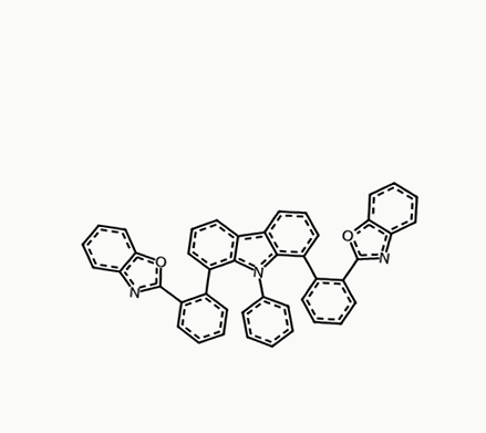 c1ccc(-n2c3c(-c4ccccc4-c4nc5ccccc5o4)cccc3c3cccc(-c4ccccc4-c4nc5ccccc5o4)c32)cc1